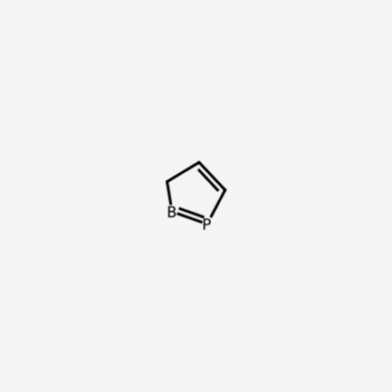 B1=PC=CC1